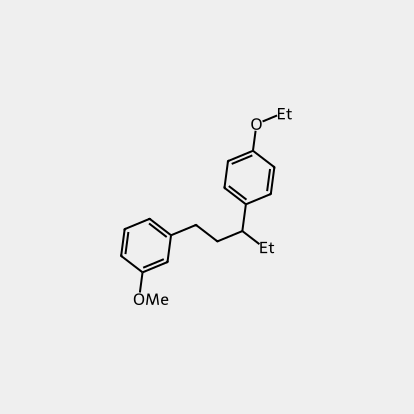 [CH2]CC(CCc1cccc(OC)c1)c1ccc(OCC)cc1